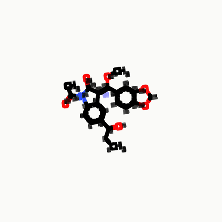 CCC(=O)c1ccc2c(c1)/C(=C(/OC)c1ccc3c(c1)OCO3)C(=O)N2C(C)=O